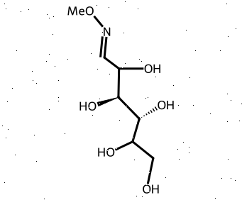 CO/N=C/C(O)[C@H](O)[C@H](O)C(O)CO